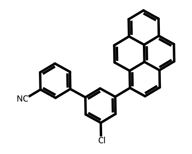 N#Cc1cccc(-c2cc(Cl)cc(-c3ccc4ccc5cccc6ccc3c4c56)c2)c1